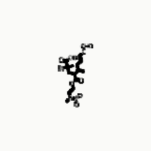 CCC(C)(CC(C(=O)OCCN(C)[SH](=O)=O)C(C)CCCOC=O)C(=O)OCC(C)C